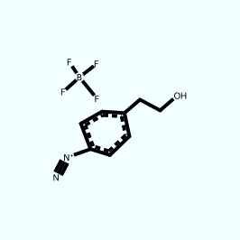 F[B-](F)(F)F.N#[N+]c1ccc(CCO)cc1